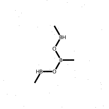 CBOB(C)OBC